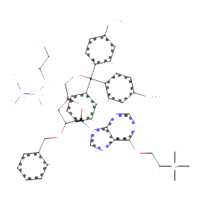 COc1ccc(C(OCC2OC(n3cnc4c(OCC[Si](C)(C)C)ncnc43)C(OCc3ccccc3)[C@@H]2OP(OCCC#N)N(C(C)C)C(C)C)(c2ccccc2)c2ccc(OC)cc2)cc1